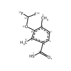 Cc1ccc(C(=O)S)c(C)c1OC(F)F